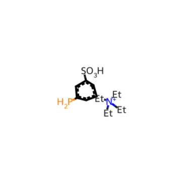 CC[N+](CC)(CC)CC.O=S(=O)(O)c1cccc(P)c1